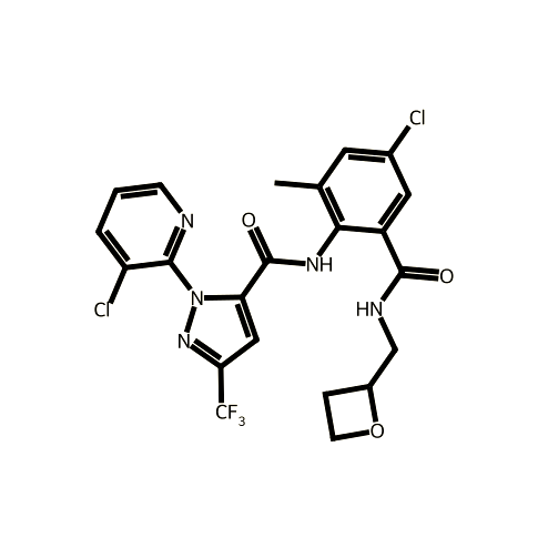 Cc1cc(Cl)cc(C(=O)NCC2CCO2)c1NC(=O)c1cc(C(F)(F)F)nn1-c1ncccc1Cl